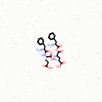 N[C@@H](CCC(=O)O)C(=O)OC(=O)[C@@H](N)Cc1ccccc1.N[C@@H](Cc1ccccc1)C(=O)N[C@@H](CCC(=O)O)C(=O)O